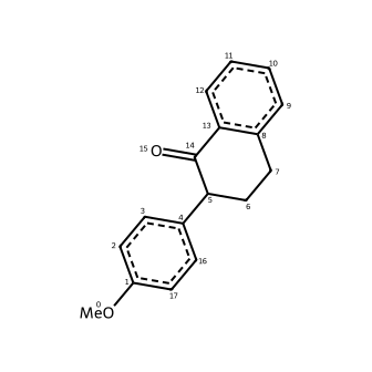 COc1ccc(C2CCc3ccccc3C2=O)cc1